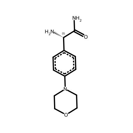 NC(=O)[C@@H](N)c1ccc(N2CCOCC2)cc1